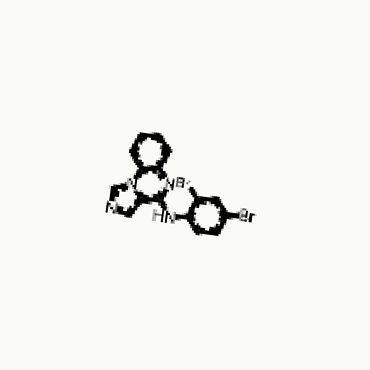 Brc1ccc(Nc2nc3ccccc3n3cncc23)c(Br)c1